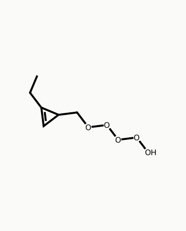 CCC1=CC1COOOOO